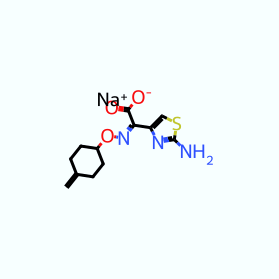 C=C1CCC(ON=C(C(=O)[O-])c2csc(N)n2)CC1.[Na+]